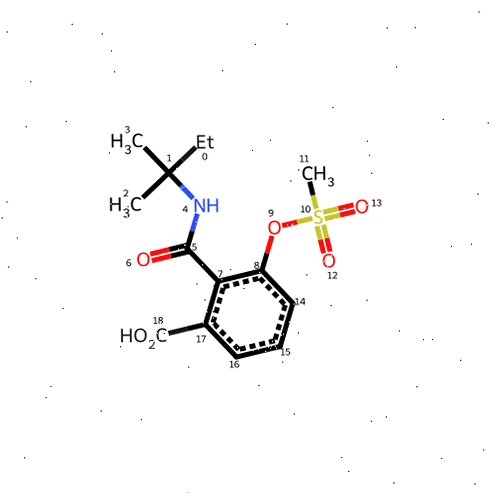 CCC(C)(C)NC(=O)c1c(OS(C)(=O)=O)cccc1C(=O)O